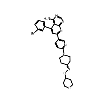 Nc1ncnc2nc(-c3ccc(N4CCC(=NOC5CCOCC5)CC4)nc3)cc(-c3cccc(Br)c3)c12